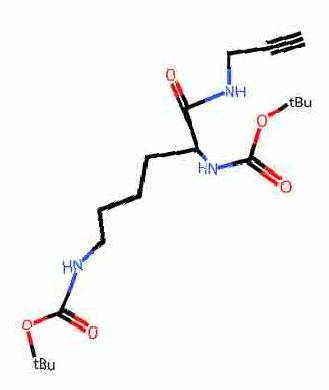 C#CCNC(=O)C(CCCCNC(=O)OC(C)(C)C)NC(=O)OC(C)(C)C